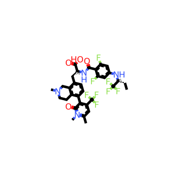 CC[C@@H](Nc1cc(F)c(C(=O)N[C@@H](Cc2ccc(-c3c(C(F)(F)F)cc(C)n(C)c3=O)c3c2CN(C)CC3)C(=O)O)c(F)c1)C(F)(F)F